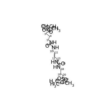 CO[Si](CCCNC(=O)NC/C=C/CNC(=O)NCCC[Si](OC)(OC)OC)(OC)OC